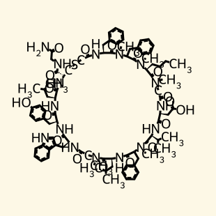 CCCC[C@H]1C(=O)N(C)CC(=O)N[C@@H](CC(=O)O)C(=O)N[C@@H](C(C)C)C(=O)N(C)C(Cc2ccccc2)C(=O)N[C@@H](CC(C)C)C(=O)N(C)CC(=O)N[C@@H](Cc2c[nH]c3ccccc23)C(=O)N[C@@H](Cc2ccc(O)cc2)C(=O)N[C@@H](CC(C)C)C(=O)N[C@H](C(=O)NCC(N)=O)CSCC(=O)N[C@@H](Cc2ccccc2)C(=O)N(C)C(Cc2ccccc2)C(=O)N1C